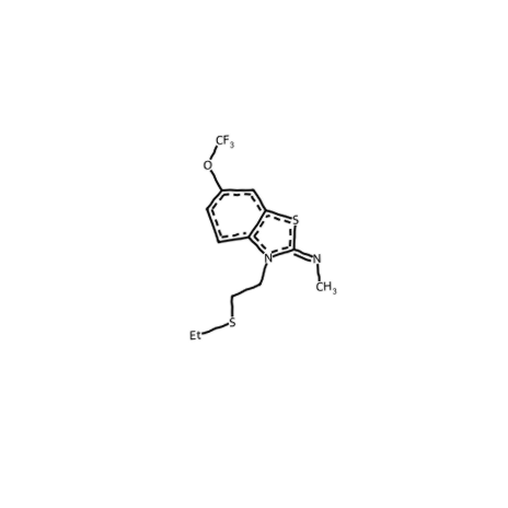 CCSCCn1c(=NC)sc2cc(OC(F)(F)F)ccc21